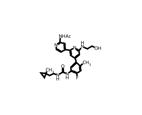 CC(=O)Nc1cc(-c2cc(-c3cc(NC(=O)NCCC4(C)CC4)c(F)cc3C)cc(NCCO)n2)ccn1